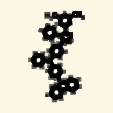 Cc1cc(C)cc(-c2nnc(-c3ccc(N(c4ccccc4)c4ccc(-n5c6ccccc6c6ccccc65)cc4)cc3)n2-c2ccccc2)c1